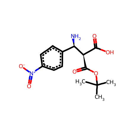 CC(C)(C)OC(=O)[C@H](C(=O)O)[C@H](N)c1ccc([N+](=O)[O-])cc1